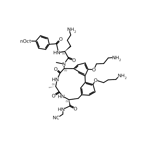 CCCCCCCCc1ccc(C(=O)N[C@@H](CCCN)C(=O)N(C)[C@@H]2C(=O)N[C@@H](C)C(=O)N[C@H](C(=O)NCC#N)Cc3ccc(OCCCN)c(c3)-c3cc2ccc3OCCCN)cc1